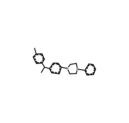 Cc1ccc(C(C)c2ccc(N3CCN(c4ccccc4)CC3)cc2)cc1